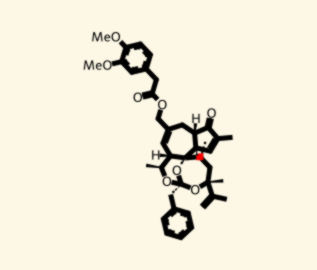 C=C(C)[C@@]1(C)C[C@@H](C)[C@@]23O[C@](Cc4ccccc4)(O[C@@H](C)[C@@H]2C=C(COC(=O)Cc2ccc(OC)c(OC)c2)C[C@@H]2C(=O)C(C)=C[C@H]23)O1